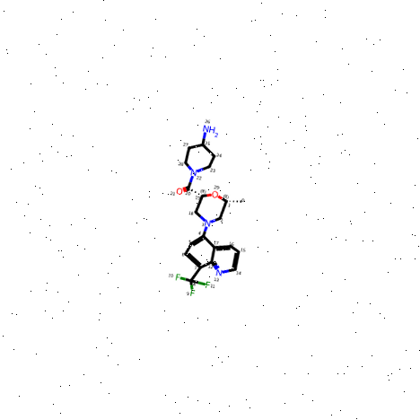 C[C@@H]1CN(c2ccc(C(F)(F)F)c3ncccc23)C[C@H](C(=O)N2CCC(N)CC2)O1